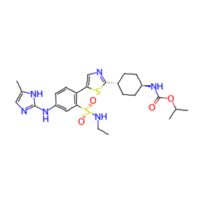 CCNS(=O)(=O)c1cc(Nc2ncc(C)[nH]2)ccc1-c1cnc([C@H]2CC[C@H](NC(=O)OC(C)C)CC2)s1